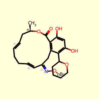 CCCCO/N=C1/C=C/CC/C=C/C[C@@H](C)OC(=O)c2c(O)cc(O)c(C3CCCCO3)c2C1